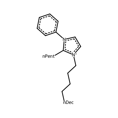 CCCCCCCCCCCCCC[n+]1ccn(-c2ccccc2)c1CCCCC